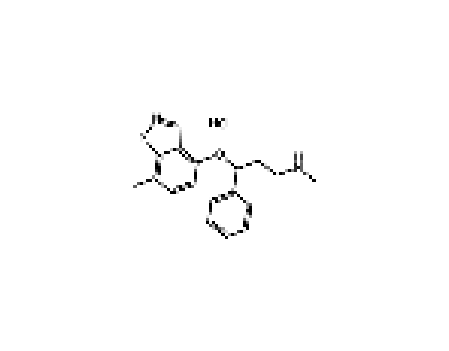 CNCCC(Oc1ccc(C)c2sncc12)c1ccccc1.Cl